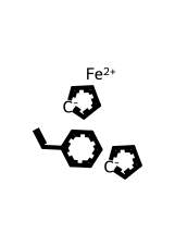 C=Cc1ccccc1.[Fe+2].c1cc[cH-]c1.c1cc[cH-]c1